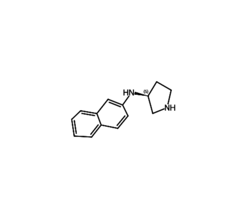 c1ccc2cc(N[C@H]3CCNC3)ccc2c1